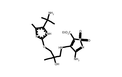 CCOC(=O)C1=C(NCC(C)(O)COc2nc(C)c(C(C)(C)N)[nH]2)C(N)=NS1(=O)=O